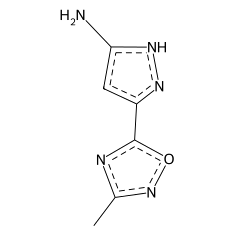 Cc1noc(-c2cc(N)[nH]n2)n1